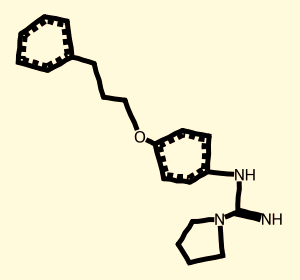 N=C(Nc1ccc(OCCCc2ccccc2)cc1)N1CCCC1